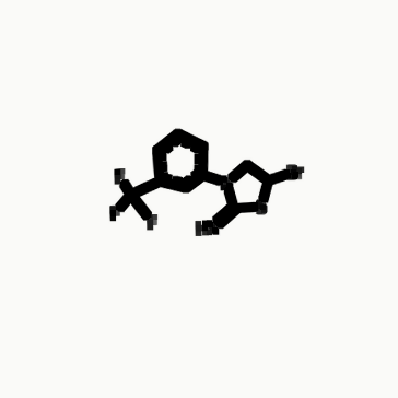 N=C1SC(Br)CN1c1cccc(C(F)(F)F)c1